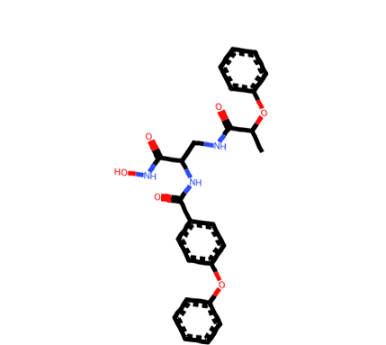 CC(Oc1ccccc1)C(=O)NCC(NC(=O)c1ccc(Oc2ccccc2)cc1)C(=O)NO